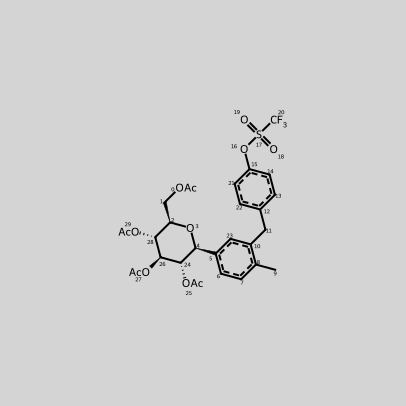 CC(=O)OC[C@H]1O[C@@H](c2ccc(C)c(Cc3ccc(OS(=O)(=O)C(F)(F)F)cc3)c2)[C@H](OC(C)=O)[C@@H](OC(C)=O)[C@@H]1OC(C)=O